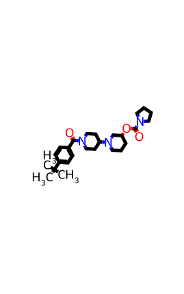 CC(C)(C)c1ccc(C(=O)N2CCC(N3CCCC(OC(=O)N4CCCC4)C3)CC2)cc1